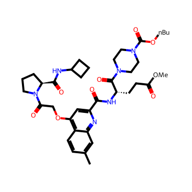 CCCCOC(=O)N1CCN(C(=O)[C@H](CCC(=O)OC)NC(=O)c2cc(OCC(=O)N3CCC[C@H]3C(=O)NC3CCC3)c3ccc(C)cc3n2)CC1